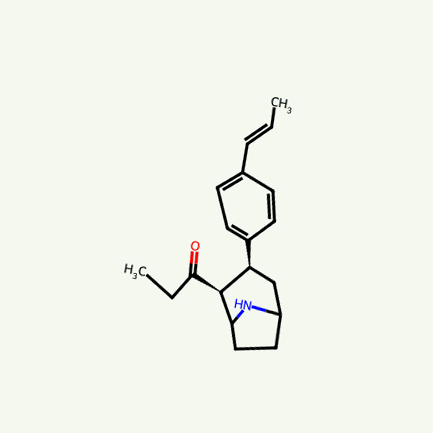 C/C=C/c1ccc([C@H]2CC3CCC(N3)[C@H]2C(=O)CC)cc1